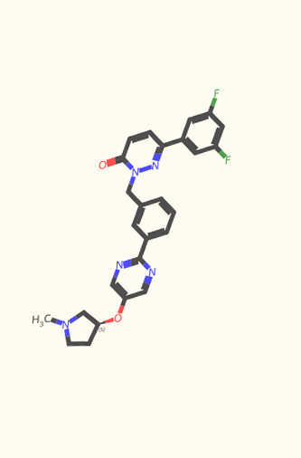 CN1CC[C@H](Oc2cnc(-c3cccc(Cn4nc(-c5cc(F)cc(F)c5)ccc4=O)c3)nc2)C1